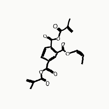 C=C(C)C(=O)OC(=O)c1ccc(C(=O)OC(=O)C(=C)C)c(C(=O)O/C=C\C)c1